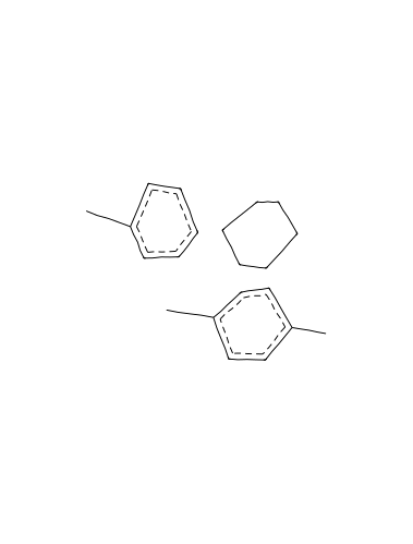 C1CCCCC1.Cc1ccc(C)cc1.Cc1ccccc1